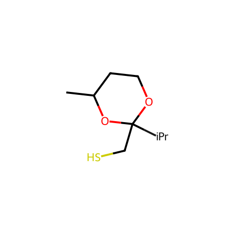 CC1CCOC(CS)(C(C)C)O1